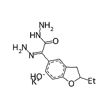 CCC1Cc2cc(C(=NN)C(=O)NN)ccc2O1.[K+].[OH-]